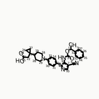 CC(OC(=O)Nc1c(C#N)cnn1-c1ccc(N2CCC(C3(CC(=O)O)CC3)CC2)cc1)c1ccccc1